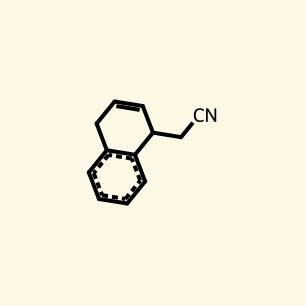 N#CCC1C=CCc2ccccc21